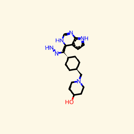 N=N/C(=C1\NC=Nc2[nH]ccc21)[C@H]1CC[C@H](CN2CCC(O)CC2)CC1